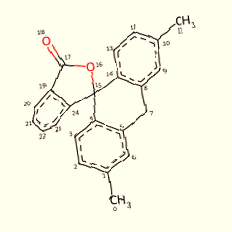 Cc1ccc2c(c1)Cc1cc(C)ccc1C21OC(=O)c2ccccc21